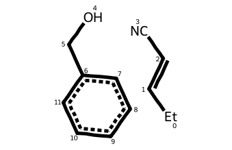 CCC=CC#N.OCc1ccccc1